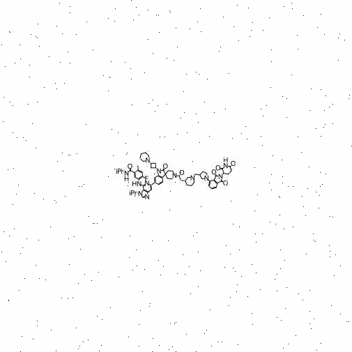 Cc1cc(F)c(Nc2nc(-c3ccc4c(c3)N([C@H]3C[C@@H](N5CCCCC5)C3)C(=O)C43CCN(C(=O)C[C@@H]4CCCN(CC5CCN(c6cccc7c6C(=O)N(C6CCC(=O)NC6=O)C7=O)C5)C4)CC3)cc3ncn(C(C)C)c23)cc1C(=O)NC(C)C